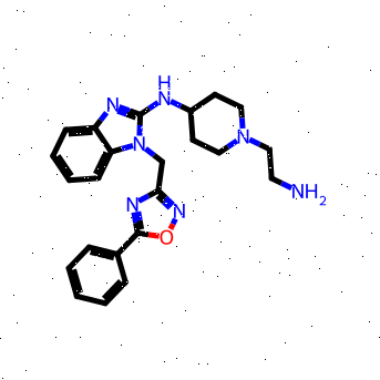 NCCN1CCC(Nc2nc3ccccc3n2Cc2noc(-c3ccccc3)n2)CC1